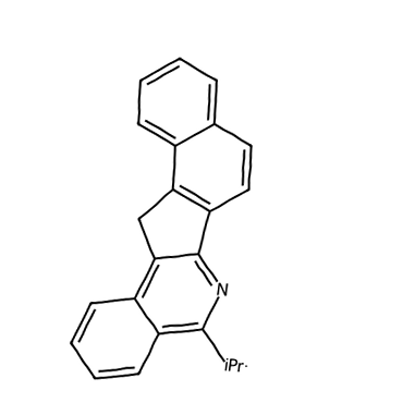 C[C](C)c1nc2c(c3ccccc13)Cc1c-2ccc2ccccc12